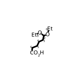 CCOC(CCCCC(=O)O)OCC